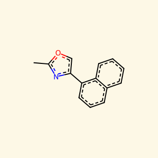 Cc1nc(-c2cccc3ccccc23)co1